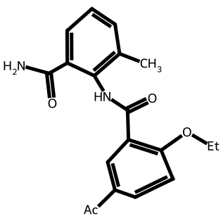 CCOc1ccc(C(C)=O)cc1C(=O)Nc1c(C)cccc1C(N)=O